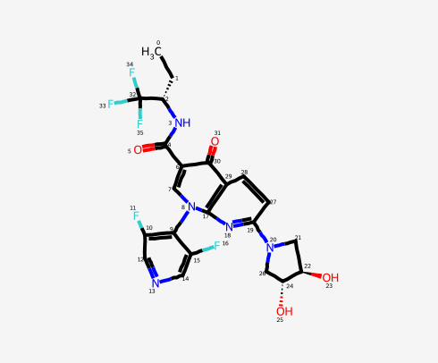 CC[C@H](NC(=O)c1cn(-c2c(F)cncc2F)c2nc(N3C[C@@H](O)[C@H](O)C3)ccc2c1=O)C(F)(F)F